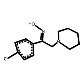 ON=C(CN1CCCCC1)c1ccc(Cl)cc1